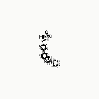 O=[SH](=O)NCCc1ccc(-c2ccc3ncc(N4CCCCC4)nc3c2)cc1